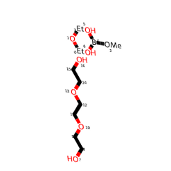 CCOCC.COB(O)O.OCCOCCOCCO